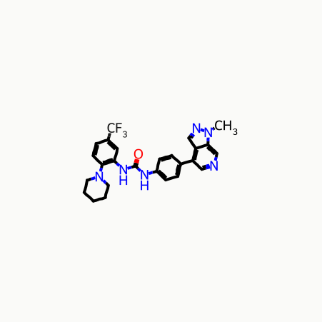 Cn1ncc2c(-c3ccc(NC(=O)Nc4cc(C(F)(F)F)ccc4N4CCCCC4)cc3)cncc21